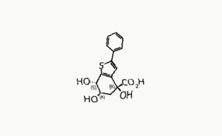 O=C(O)[C@@]1(O)C[C@@H](O)[C@H](O)c2sc(-c3ccccc3)cc21